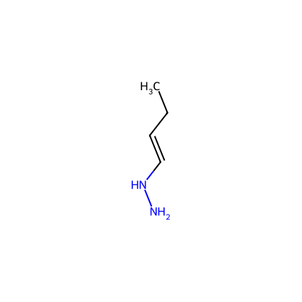 CCC=CNN